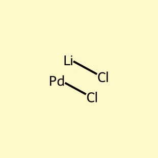 [Cl][Pd].[Li][Cl]